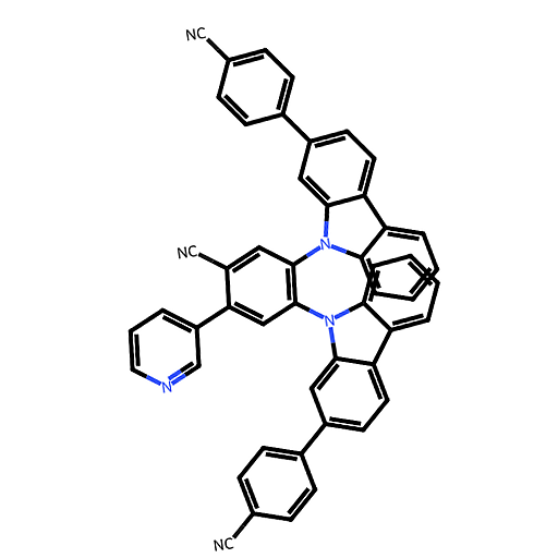 N#Cc1ccc(-c2ccc3c4ccccc4n(-c4cc(C#N)c(-c5cccnc5)cc4-n4c5ccccc5c5ccc(-c6ccc(C#N)cc6)cc54)c3c2)cc1